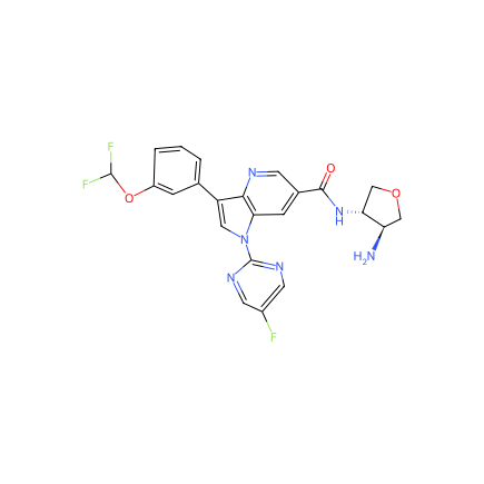 N[C@@H]1COC[C@H]1NC(=O)c1cnc2c(-c3cccc(OC(F)F)c3)cn(-c3ncc(F)cn3)c2c1